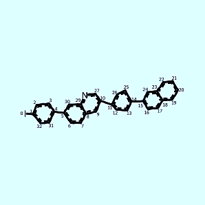 Ic1ccc(-c2ccc3cc(-c4ccc(-c5ccc6ccccc6c5)cc4)cnc3c2)cc1